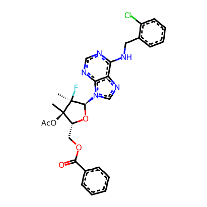 CC(=O)O[C@]1(C)[C@@H](COC(=O)c2ccccc2)O[C@H](n2cnc3c(NCc4ccccc4Cl)ncnc32)[C@]1(C)F